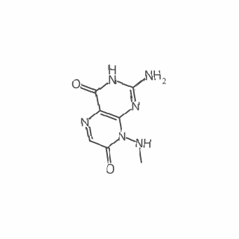 CNn1c(=O)cnc2c(=O)[nH]c(N)nc21